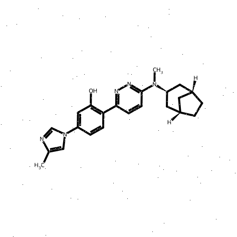 Cc1cn(-c2ccc(-c3ccc(N(C)[C@H]4C[C@@H]5CC[C@@H](C5)C4)nn3)c(O)c2)cn1